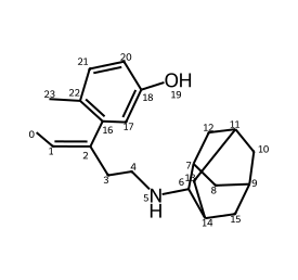 C/C=C(/CCNC1C2CC3CC(C2)CC1C3)c1cc(O)ccc1C